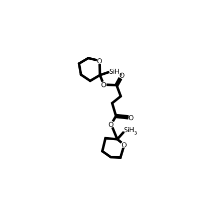 O=C(CCC(=O)OC1([SiH3])CCCCO1)OC1([SiH3])CCCCO1